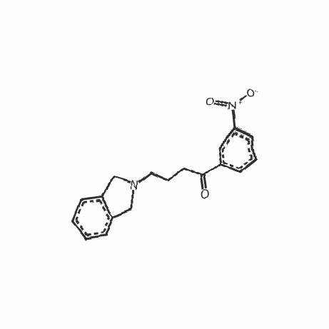 O=C(CCCN1Cc2ccccc2C1)c1cccc([N+](=O)[O-])c1